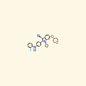 N#Cc1c(-c2ccc(Nc3ccccc3F)cc2)n(C2CCC2)c2cc(OC3CCOCC3)ccc12